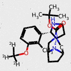 [2H]C([2H])([2H])Oc1cccc([C@@H]2NCC[C@@H]2N2C3CCC2CN(C(=O)OC(C)(C)C)C3)c1C